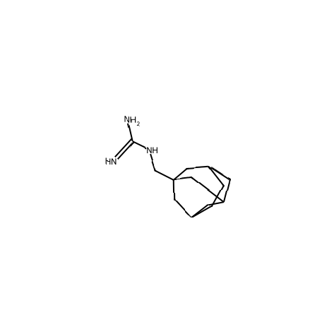 N=C(N)NCC12CC3CCC(CC(C3)C1)C2